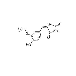 CCOc1cc(C=C2NC(=O)NC2=O)ccc1O